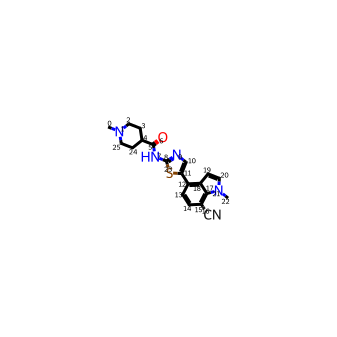 CN1CCC(C(=O)Nc2ncc(-c3ccc(C#N)c4c3ccn4C)s2)CC1